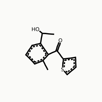 Cc1cccc(C(C)O)c1C(=O)c1cccs1